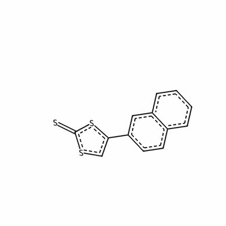 S=c1scc(-c2ccc3ccccc3c2)s1